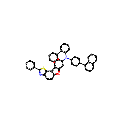 c1ccc(-c2nc3ccc4oc5cc(N(c6ccc(-c7cccc8ccccc78)cc6)c6ccccc6-c6ccccc6)ccc5c4c3s2)cc1